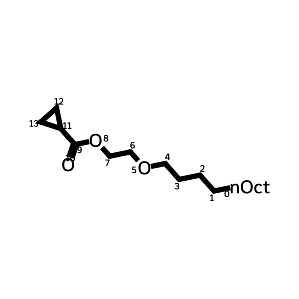 CCCCCCCCCCCCOCCOC(=O)C1CC1